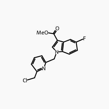 COC(=O)c1cn(Cc2cccc(CCl)n2)c2ccc(F)cc12